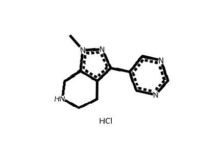 Cl.Cn1nc(-c2cncnc2)c2c1CNCC2